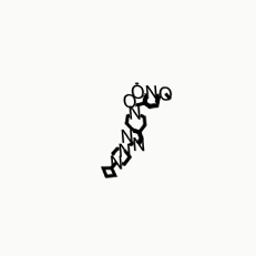 COc1ccc(C(=O)N2CCc3cnc(N4CCN(C5CCC5)CC4)nc3CC2)c(OC)n1